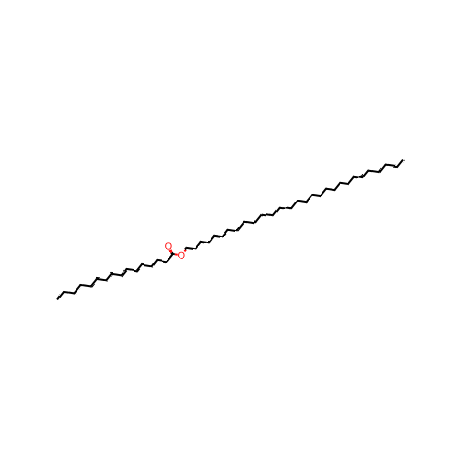 CCCCCCCCCCCCCCCCCCCCCCCCCCCCCOC(=O)CCCCCCCCCCCCCCC